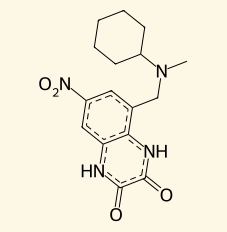 CN(Cc1cc([N+](=O)[O-])cc2[nH]c(=O)c(=O)[nH]c12)C1CCCCC1